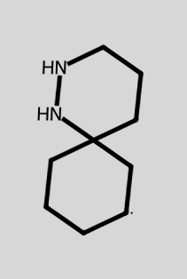 [CH]1CCCC2(C1)CCCNN2